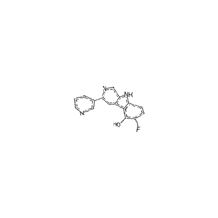 Oc1c(F)ccc2[nH]c3cnc(-c4cccnc4)cc3c12